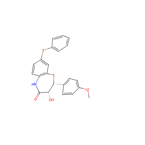 COc1ccc([C@H]2Sc3cc(Sc4ccccc4)ccc3NC(=O)[C@H]2O)cc1